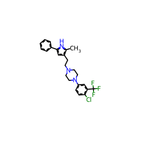 Cc1[nH]c(-c2ccccc2)cc1CCN1CCN(c2ccc(Cl)c(C(F)(F)F)c2)CC1